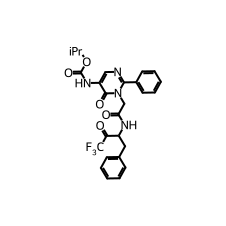 CC(C)OC(=O)Nc1cnc(-c2ccccc2)n(CC(=O)NC(Cc2ccccc2)C(=O)C(F)(F)F)c1=O